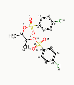 CC(OS(=O)(=O)c1ccc(Cl)cc1)C(C)OS(=O)(=O)c1ccc(Cl)cc1